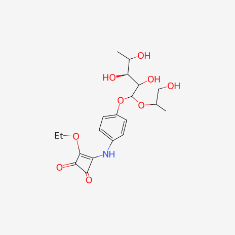 CCOc1c(Nc2ccc(OC(OC(C)CO)C(O)[C@@H](O)C(C)O)cc2)c(=O)c1=O